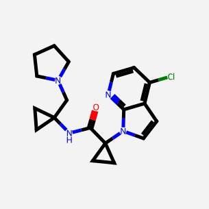 O=C(NC1(CN2CCCC2)CC1)C1(n2ccc3c(Cl)ccnc32)CC1